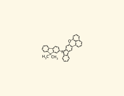 CC1(C)c2ccccc2-c2ccc(-n3c4ccccc4c4cc5c(cc43)Oc3cccc4cccc-5c34)cc21